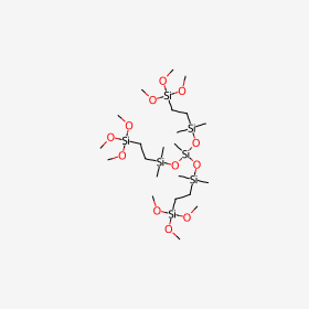 CO[Si](CC[Si](C)(C)O[Si](C)(O[Si](C)(C)CC[Si](OC)(OC)OC)O[Si](C)(C)CC[Si](OC)(OC)OC)(OC)OC